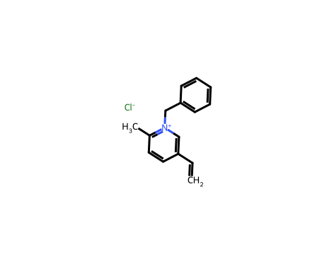 C=Cc1ccc(C)[n+](Cc2ccccc2)c1.[Cl-]